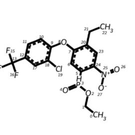 CCO[PH](=O)c1cc(Oc2ccc(C(F)(F)F)cc2Cl)c(CC)cc1[N+](=O)[O-]